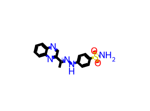 C/C(=N\Nc1ccc(S(N)(=O)=O)cc1)c1cnc2ccccc2n1